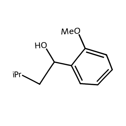 COc1ccccc1C(O)CC(C)C